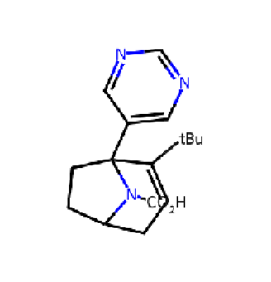 CC(C)(C)C1=CCC2CCC1(c1cncnc1)N2C(=O)O